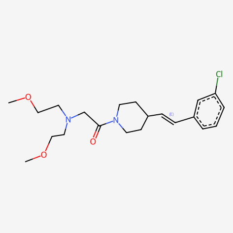 COCCN(CCOC)CC(=O)N1CCC(/C=C/c2cccc(Cl)c2)CC1